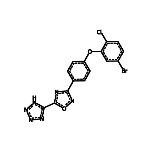 Clc1ccc(Br)cc1Oc1ccc(-c2noc(-c3nnn[nH]3)n2)cc1